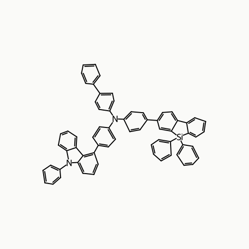 c1ccc(-c2ccc(N(c3ccc(-c4ccc5c(c4)[Si](c4ccccc4)(c4ccccc4)c4ccccc4-5)cc3)c3ccc(-c4cccc5c4c4ccccc4n5-c4ccccc4)cc3)cc2)cc1